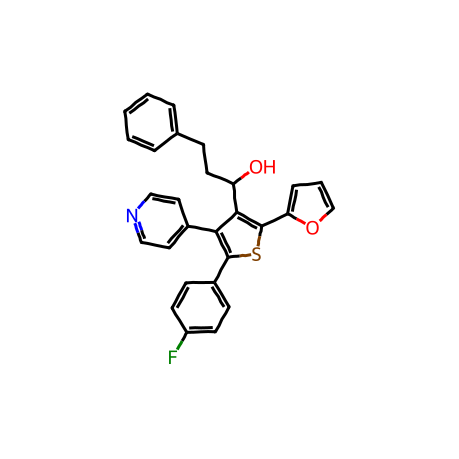 OC(CCc1ccccc1)c1c(-c2ccco2)sc(-c2ccc(F)cc2)c1-c1ccncc1